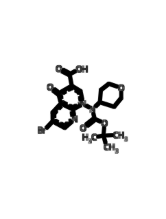 CC(C)(C)OC(=O)N(C1CCOCC1)n1cc(C(=O)O)c(=O)c2cc(Br)cnc21